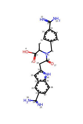 CC(C(=O)O)N(Cc1ccc(C(=N)N)cc1)C(=O)Cc1cc2cc(C(=N)N)ccc2[nH]1